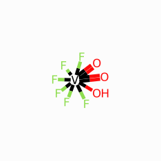 [O]=[V](=[O])([OH])([F])([F])([F])([F])([F])[F]